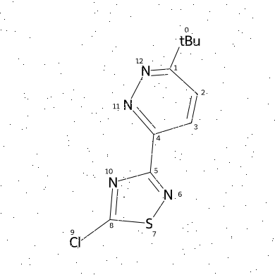 CC(C)(C)c1ccc(-c2nsc(Cl)n2)nn1